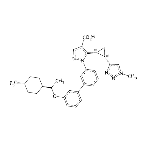 CC(Oc1cccc(-c2cccc(-n3ncc(C(=O)O)c3[C@H]3C[C@@H]3c3cn(C)nn3)c2)c1)[C@H]1CC[C@H](C(F)(F)F)CC1